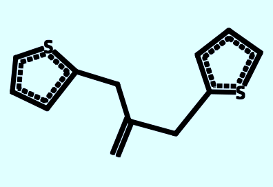 C=C(Cc1cccs1)Cc1cccs1